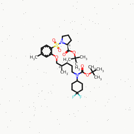 Cc1ccc(S(=O)(=O)N2CCC[C@H]2C(=O)OC(C)(C)C)c(OC[C@H](C)CCCN(C(=O)OC(C)(C)C)C2CCC(F)(F)CC2)c1